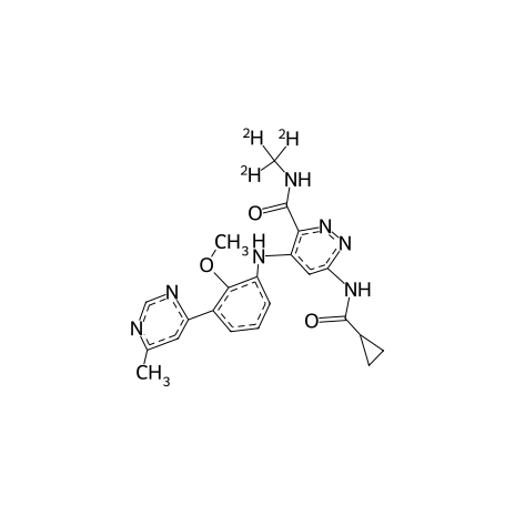 [2H]C([2H])([2H])NC(=O)c1nnc(NC(=O)C2CC2)cc1Nc1cccc(-c2cc(C)ncn2)c1OC